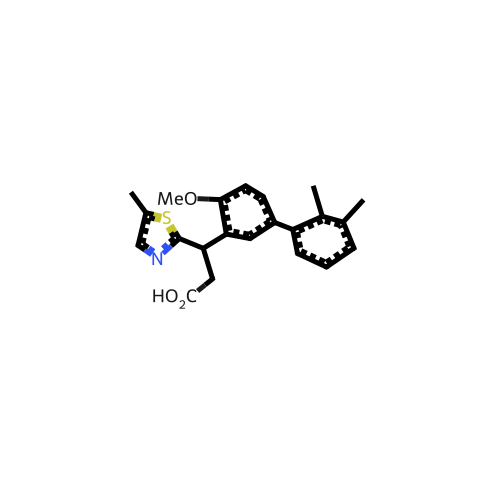 COc1ccc(-c2cccc(C)c2C)cc1C(CC(=O)O)c1ncc(C)s1